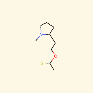 CC(S)OCCC1CCCN1C